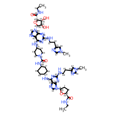 CCNC(=O)[C@@H]1CC[C@H](n2cnc3c(N[C@H]4CC[C@H](NC(=O)N5CCC(Nc6nc(NCCc7cn(C)cn7)nc7c6ncn7[C@@H]6O[C@H](C(=O)NCC)[C@@H](O)[C@H]6O)CC5)CC4)nc(NCCc4cn(C)cn4)nc32)O1